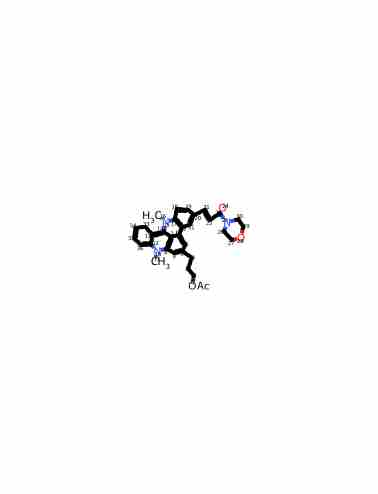 CC(=O)OCCCc1cc2c3c(c1)n(C)c1c(c-3n(C)c3ccc(C=CC(=O)N4CCOCC4)cc23)CC=CC=1